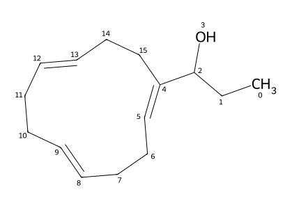 CCC(O)/C1=C\CC/C=C/CC/C=C/CC1